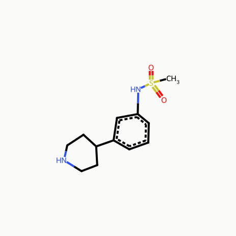 CS(=O)(=O)Nc1cccc(C2CCNCC2)c1